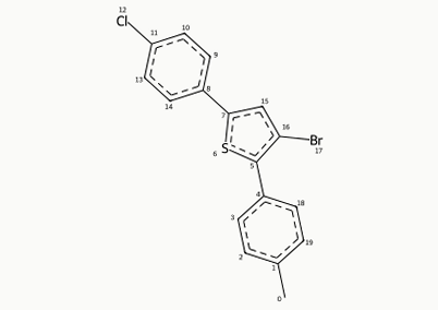 Cc1ccc(-c2sc(-c3ccc(Cl)cc3)cc2Br)cc1